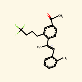 CC(=O)c1ccc(/C(C)=C/c2ccccc2C)c(CCCC(F)(F)F)c1